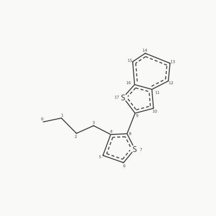 CCCCc1ccsc1-c1cc2ccccc2s1